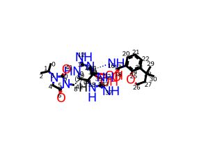 CC(C)N1CC(=O)N(C[C@@H]2NC(=N)N3C[C@H](NC(=O)c4cccc5c4OCCC5(C)C)C(O)(O)[C@@]34NC(=N)N[C@@H]24)C1=O